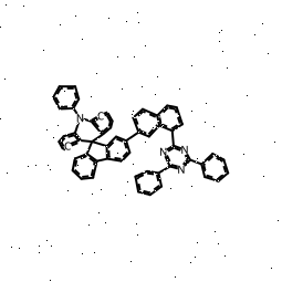 c1ccc(-c2nc(-c3ccccc3)nc(-c3cccc4ccc(-c5ccc6c(c5)C5(c7ccccc7-6)c6ccccc6N(c6ccccc6)c6ccccc65)cc34)n2)cc1